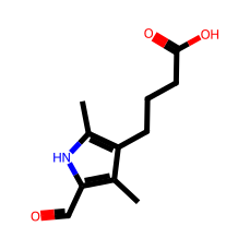 Cc1[nH]c(C=O)c(C)c1CCCC(=O)O